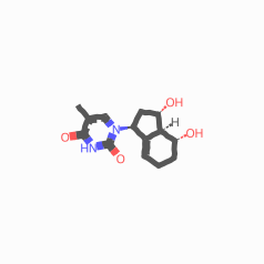 Cc1cn([C@H]2C[C@H](O)[C@@H]3C2=CCC[C@H]3O)c(=O)[nH]c1=O